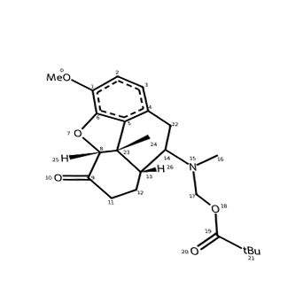 COc1ccc2c3c1O[C@H]1C(=O)CC[C@@H](C(N(C)COC(=O)C(C)(C)C)C2)[C@@]31C